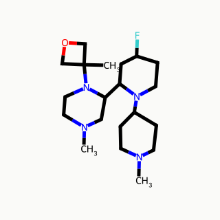 CN1CCC(N2CCC(F)CC2C2CN(C)CCN2C2(C)COC2)CC1